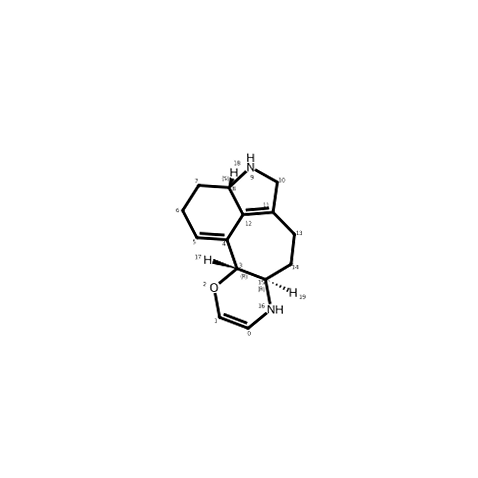 C1=CO[C@@H]2C3=CCC[C@@H]4NCC(=C34)CC[C@H]2N1